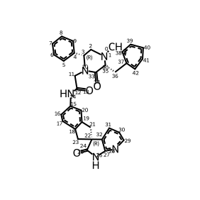 CN1C[C@@H](c2ccccc2)N(CC(=O)Nc2ccc3c(c2)C[C@@]2(C3)C(=O)Nc3ncccc32)C(=O)[C@H]1Cc1ccccc1